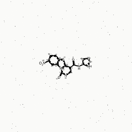 O=C(Nc1nnn[nH]1)c1cnc(=O)n2c1sc1ccc([N+](=O)[O-])cc12